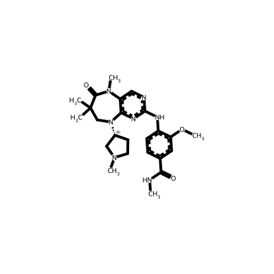 CNC(=O)c1ccc(Nc2ncc3c(n2)N([C@@H]2CCN(C)C2)CC(C)(C)C(=O)N3C)c(OC)c1